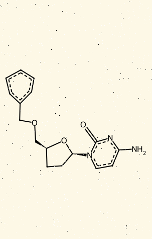 Nc1ccn([C@H]2CC[C@@H](COCc3ccccc3)O2)c(=O)n1